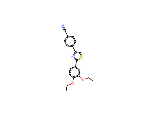 CCOc1ccc(-c2nc(-c3ccc(C#N)cc3)cs2)cc1OCC